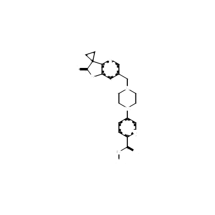 CNC(=O)c1ccc(N2CCN(Cc3cnc4c(c3)NC(=O)C43CC3)CC2)cn1